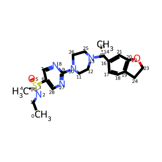 CCN=[S@](C)(=O)c1cnc(N2CCN([C@H](C)c3ccc4c(c3)OCC4)CC2)nc1